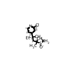 CC[C@](C)(CC(C)(C)[S+](N)[O-])c1ccnc(Cl)c1